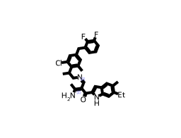 CCc1cc2[nH]c(C(=O)C(/C=N\CC(C)c3c(C)cc(Cc4cccc(F)c4F)cc3Cl)=C(/C)N)cc2cc1C